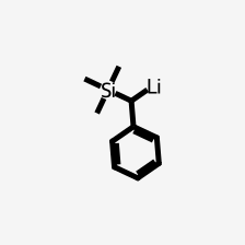 [Li][CH](c1ccccc1)[Si](C)(C)C